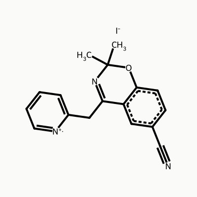 CC1(C)N=C(CC2=CC=CC=[N+]2)c2cc(C#N)ccc2O1.[I-]